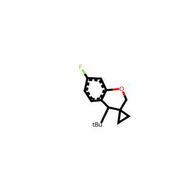 CC(C)(C)C1c2ccc(F)cc2OCC12CC2